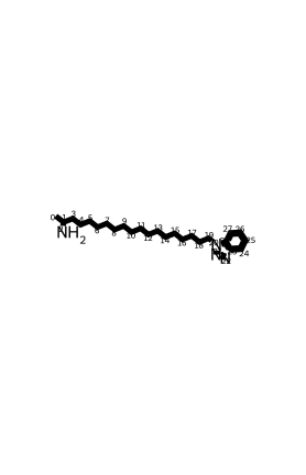 CC(N)CCCCCCCCCCCCCCCCCn1nnc2ccccc21